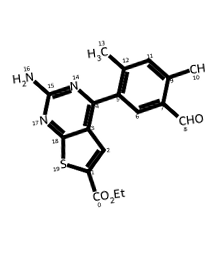 CCOC(=O)c1cc2c(-c3cc(C=O)c(C)cc3C)nc(N)nc2s1